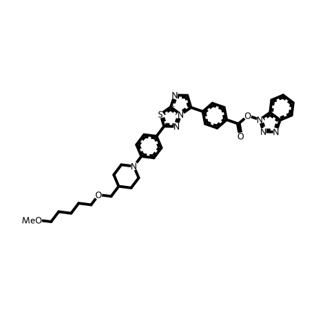 COCCCCCOCC1CCN(c2ccc(-c3nn4c(-c5ccc(C(=O)On6nnc7ccccc76)cc5)cnc4s3)cc2)CC1